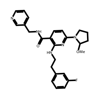 COC1CCCN1c1ccc(C(=O)NCc2cccnc2)c(NCCc2cccc(F)c2)n1